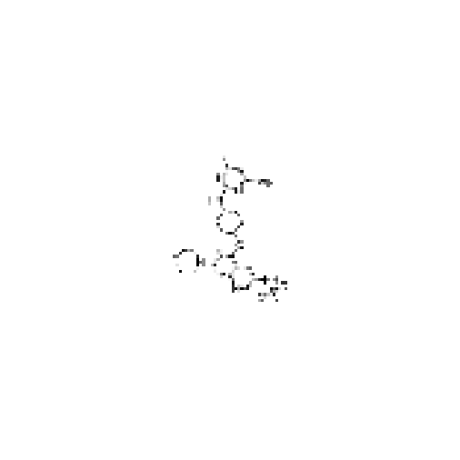 Cc1cc(C#N)nc(NC2CCC(Oc3nc(N4CCOCC4)cc4ncc(NS(C)(=O)=O)cc34)CC2)n1